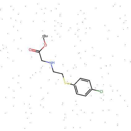 CC(C)(C)OC(=O)CNCCSc1ccc(Cl)cc1